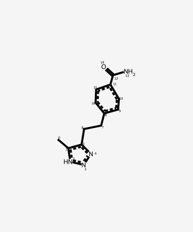 Cc1[nH]nnc1[CH]Cc1ccc(C(N)=O)cc1